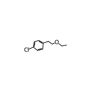 CCOCCc1ccc(Cl)cc1